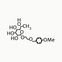 COc1ccc(COCCO[C@@H]2O[C@H]([C@H](C)O)[C@@H](O)[C@H](O)[C@H]2O)cc1